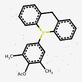 CC(=O)Oc1c(C)cc([S+]2c3ccccc3Cc3ccccc32)cc1C